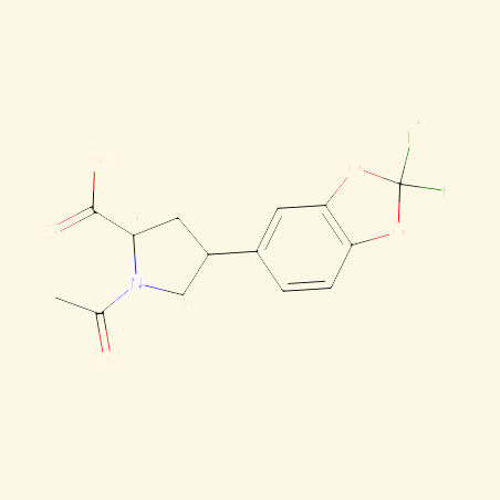 CC(=O)N1CC(c2ccc3c(c2)OC(F)(F)O3)CC1C(=O)O